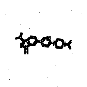 CC(C)c1n[nH]c2cc(-c3ccc(N4CCN(C(C)C)CC4)nc3)ccc12